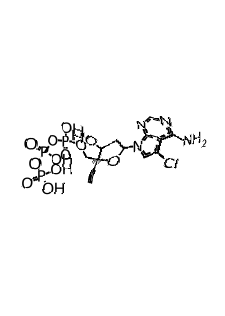 C#C[C@]1(COP(=O)(O)OP(=O)(O)OP(=O)(O)O)OC(n2cc(Cl)c3c(N)ncnc32)CC1O